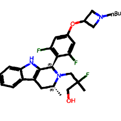 CCCCN1CC(Oc2cc(F)c([C@@H]3c4[nH]c5ccccc5c4C[C@@H](C)N3CC(C)(F)CO)c(F)c2)C1